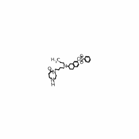 CCCN(CCCCN1CCNCCC1=O)C1CCc2ccc(OS(=O)(=O)c3ccccc3)cc2C1